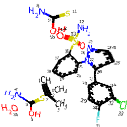 C.C#CC.NC(O)=S.NC(O)=S.NS(=O)(=O)c1ccccc1-n1nccc1-c1ccc(F)c(Cl)c1.O